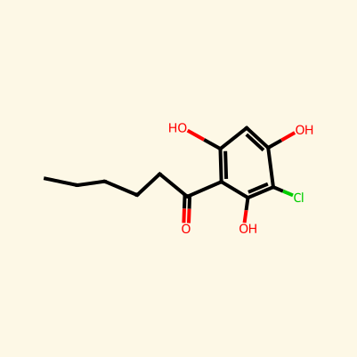 CCCCCC(=O)c1c(O)cc(O)c(Cl)c1O